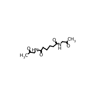 CC(=O)CNC(=O)CCCCC(=O)NCC(C)=O